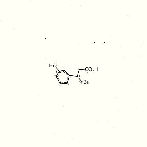 CCCCC(CC(=O)O)c1cccc(O)c1